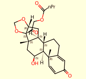 CCCC(=O)OCC(=O)[C@@]12OCO[C@@H]1C[C@H]1[C@@H]3CCC4=CC(=O)C=C[C@]4(C)[C@H]3[C@@H](O)C[C@@]12C